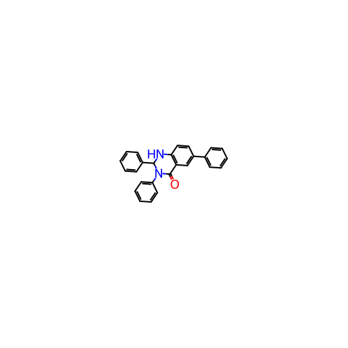 O=C1c2cc(-c3ccccc3)ccc2NC(c2ccccc2)N1c1ccccc1